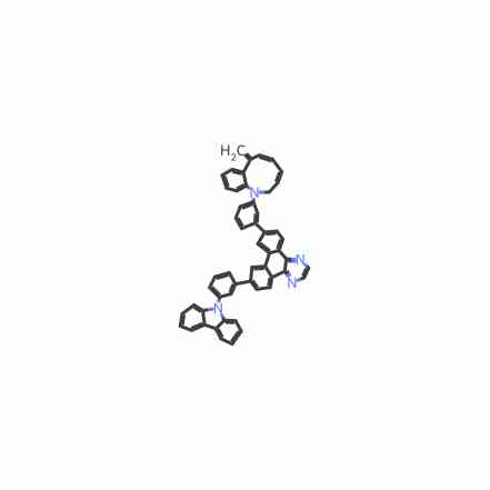 C=C1/C=C\C=C/CN(c2cccc(-c3ccc4c(c3)c3cc(-c5cccc(-n6c7ccccc7c7ccccc76)c5)ccc3c3nccnc43)c2)c2ccccc21